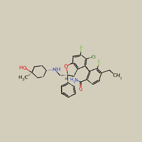 CCc1ccc(C(N)=O)c(-c2c(Cl)c(F)cc3c2C[C@@](CN[C@H]2CC[C@](C)(O)CC2)(c2ccccc2)O3)c1F